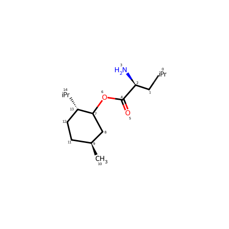 CC(C)C[C@H](N)C(=O)OC1C[C@@H](C)CC[C@@H]1C(C)C